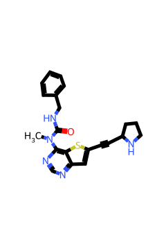 CN(C(=O)NCc1ccccc1)c1ncnc2cc(C#CC3CCCN3)sc12